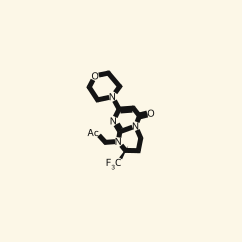 CC(=O)CN1c2nc(N3CCOCC3)cc(=O)n2CC[C@H]1C(F)(F)F